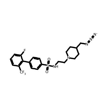 [N-]=[N+]=NCC1CCN(CCNS(=O)(=O)c2ccc(-c3c(F)cccc3C(F)(F)F)cc2)CC1